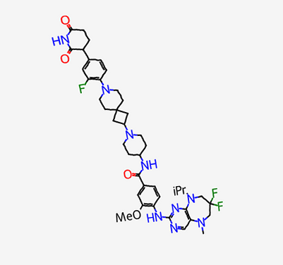 COc1cc(C(=O)NC2CCN(C3CC4(CCN(c5ccc(C6CCC(=O)NC6=O)cc5F)CC4)C3)CC2)ccc1Nc1ncc2c(n1)N(C(C)C)CC(F)(F)CN2C